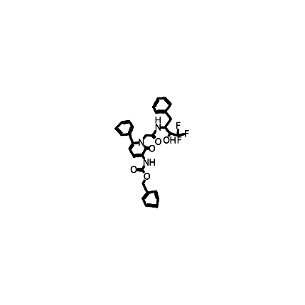 O=C(Cn1c(-c2ccccc2)ccc(NC(=O)OCc2ccccc2)c1=O)NC(Cc1ccccc1)C(O)C(F)(F)F